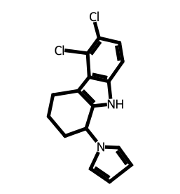 Clc1ccc2[nH]c3c(c2c1Cl)CCCC3n1cccc1